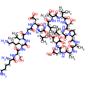 CC(C)C[C@H](NC(=O)[C@H](CCCCN)NC(=O)[C@H](CO)NC(=O)[C@@H](N)CCCCN)C(=O)NCC(=O)N[C@@H](CC(=O)O)C(=O)N[C@@H](CC(C)C)C(=O)N[C@H](C(=O)N[C@H](C(=O)N[C@H](C(=O)N[C@@H](CO)C(=O)N[C@@H](CC(C)C)C(=O)N1CCC[C@H]1C(=O)N[C@@H](C)C(=O)N[C@@H](C)C(=O)N[C@@H](CC(=O)O)C(=O)N[C@@H](CC(=O)O)C(=O)O)C(C)C)[C@@H](C)O)C(C)C